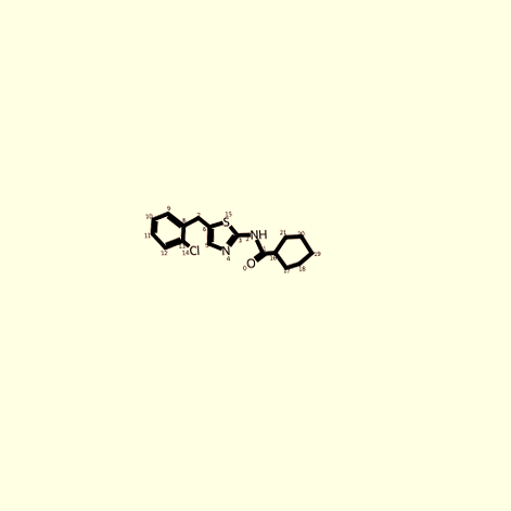 O=C(Nc1ncc(Cc2ccccc2Cl)s1)C1CCCCC1